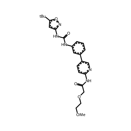 COCCOCC(=O)Nc1ccc(-c2cccc(NC(=O)Nc3cc(C(C)(C)C)on3)c2)cn1